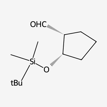 CC(C)(C)[Si](C)(C)O[C@H]1CCC[C@H]1C=O